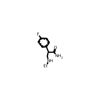 CCNCC(C(N)=O)c1ccc(F)cc1